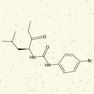 [CH2]CC(=O)[C@H](CC(C)C)NC(=O)Nc1ccc(Br)cc1